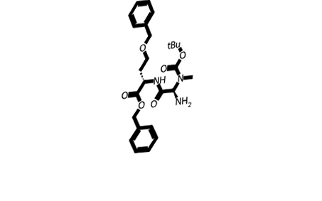 CN(C(=O)OC(C)(C)C)[C@@H](N)C(=O)N[C@@H](CCOCc1ccccc1)C(=O)OCc1ccccc1